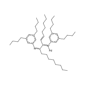 CCCCCC=CC(C(CCCCCCCC)=Nc1cc(CCCC)cc(CCCC)c1)=[N+]([Pd])c1cc(CCCC)cc(CCCC)c1